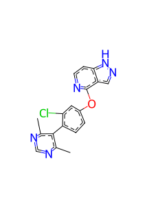 Cc1ncnc(C)c1-c1ccc(Oc2nccc3[nH]ncc23)cc1Cl